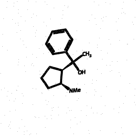 CN[C@H]1CCC[C@H]1C(C)(O)c1ccccc1